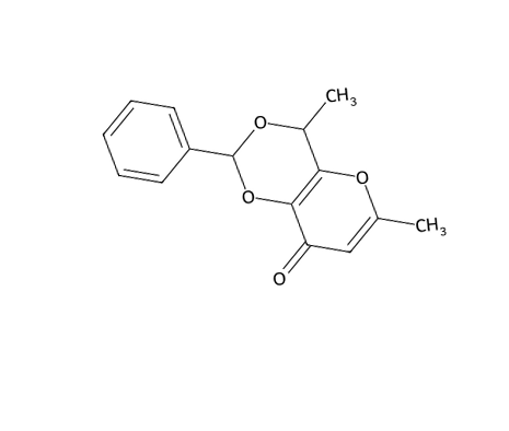 Cc1cc(=O)c2c(o1)C(C)OC(c1ccccc1)O2